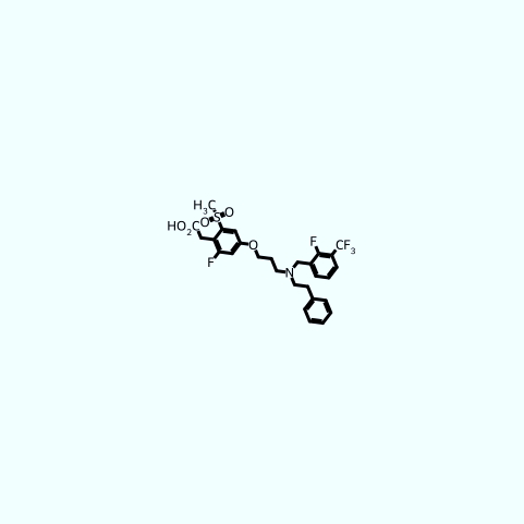 CS(=O)(=O)c1cc(OCCCN(CCc2ccccc2)Cc2cccc(C(F)(F)F)c2F)cc(F)c1CC(=O)O